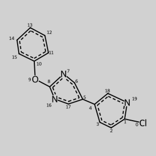 Clc1ccc(-c2cnc(Oc3ccccc3)nc2)cn1